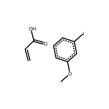 C=CC(=O)O.COc1cccc(I)c1